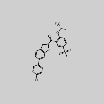 C[C@H](Oc1ccc(S(C)(=O)=O)cc1C(=O)N1Cc2ccc(-c3ccc(Cl)cc3)cc2C1)C(F)(F)F